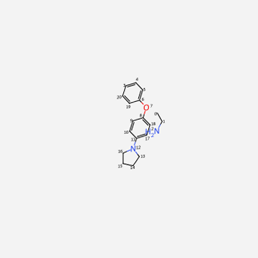 CCN.c1ccc(Oc2ccc(N3CCCC3)cc2)cc1